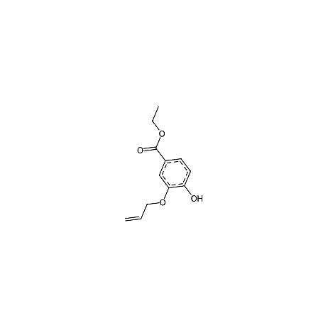 C=CCOc1cc(C(=O)OCC)ccc1O